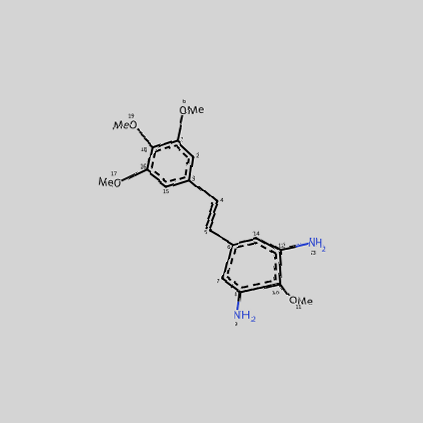 COc1cc(C=Cc2cc(N)c(OC)c(N)c2)cc(OC)c1OC